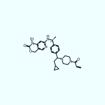 C=CC(=O)N1CCN(C(CC2CC2)c2ccc([C@H](C)Nc3cc4c(cn3)COC(=O)N4CC)cc2)CC1